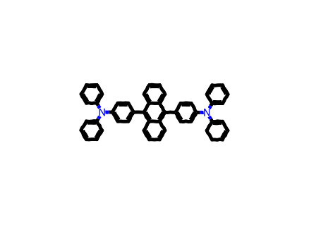 C1=CCCC(N(c2ccccc2)c2ccc(-c3c4ccccc4c(-c4ccc(N(c5ccccc5)c5ccccc5)cc4)c4ccccc34)cc2)=C1